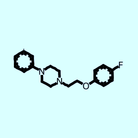 Fc1ccc(OCCN2CCN(c3c[c]ccc3)CC2)cc1